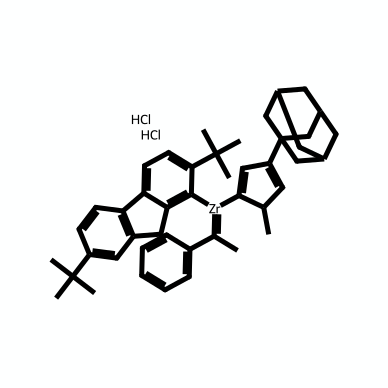 C/[C](c1ccccc1)=[Zr](\[C]1=CC(C23CC4CC(CC(C4)C2)C3)=CC1C)[c]1c(C(C)(C)C)ccc2c1Cc1cc(C(C)(C)C)ccc1-2.Cl.Cl